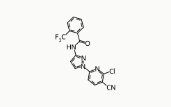 N#Cc1ccc(-n2ccc(NC(=O)c3ccccc3C(F)(F)F)n2)nc1Cl